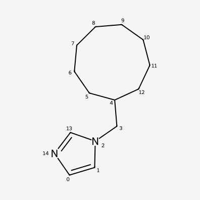 c1cn(CC2CCCCCCCC2)cn1